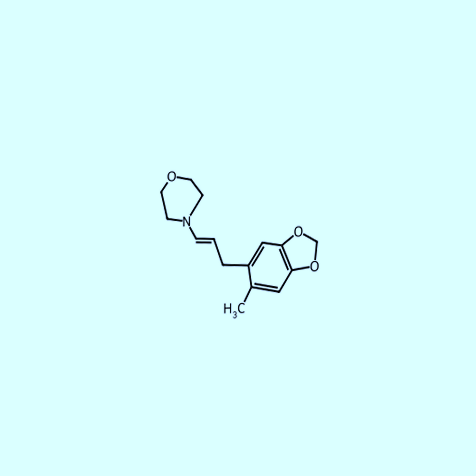 Cc1cc2c(cc1CC=CN1CCOCC1)OCO2